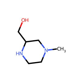 CN1CCNC(CO)C1